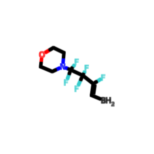 B/C=C(\F)C(F)(F)C(F)(F)N1CCOCC1